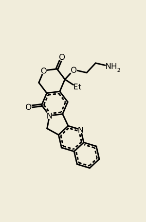 CCC1(OCCN)C(=O)OCc2c1cc1n(c2=O)Cc2cc3ccccc3nc2-1